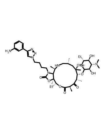 CC[C@H]1OC(O[C@@H]2[C@H](C)C(=O)[C@@H](C)C(=O)O[C@H](CC)[C@@]3(C)OC(=O)N(CCCCn4cc(-c5cccc(N)c5)nn4)C3[C@@H](C)NC[C@H](C)C[C@@]2(C)OC)[C@H](O)[C@@H](N(C)C)[C@@H]1O